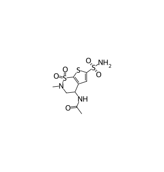 CC(=O)NC1CN(C)S(=O)(=O)c2sc(S(N)(=O)=O)cc21